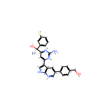 CC[C@](O)(c1cccc(F)c1)c1cc(-c2c[nH]c3ncc(-c4ccc(CO)cc4)cc23)nc(N)n1